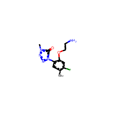 Cn1nnn(-c2cc(C(C)(C)C)c(F)cc2OCCN)c1=O